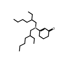 CCCCC(CC)CN(CC(CC)CCCC)C1=CC(=O)CCC1